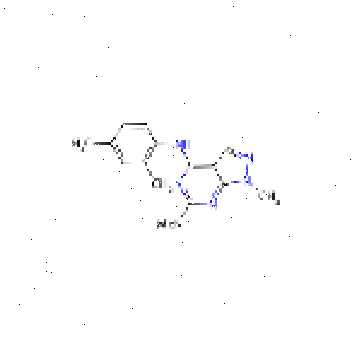 CNc1nc(Nc2ccc(C)cc2C)c2cnn(C)c2n1